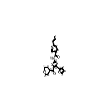 CC=Cc1ccc(C(=O)Nc2nc(-c3ccco3)c(C(=O)C3CCOCC3)s2)cn1